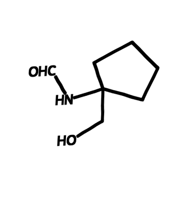 O=CNC1(CO)CCCC1